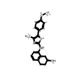 Cc1nc(Nc2cccc3c2CC(O)CC3)oc1-c1ccc(OC(F)(F)F)cc1